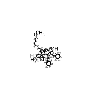 COCCC/C=C\CCCO[C@@H]1OC(CO)[C@@H](OCc2ccccc2)[C@@H](OCc2ccccc2)C1OC(=O)C(C)(C)C